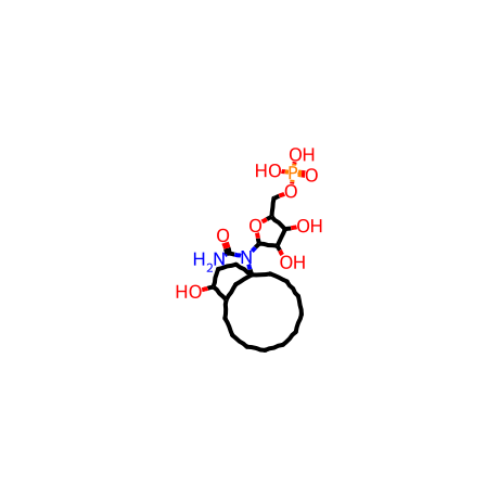 NC(=O)N(C1OC(COP(=O)(O)O)C(O)C1O)C12CCCCCCCCCCC(C1)C(O)CC2